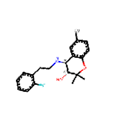 CC1(C)Oc2ccc(C#N)cc2[C@H](NCCc2ccccc2F)[C@H]1O